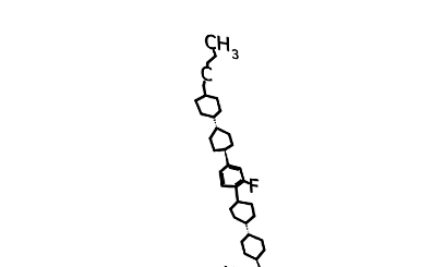 CCCCCC1CCC([C@H]2CC[C@H](c3ccc(C4CCC([C@H]5CC[C@H](CC)CC5)CC4)c(F)c3)CC2)CC1